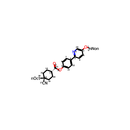 CCCCCCCCCOc1ccc(-c2ccc(OC(=O)[C@H]3CC[C@@](C#N)(CCCCCCCC)CC3)cc2)nc1